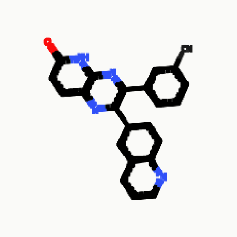 N#Cc1cccc(-c2nc3[nH]c(=O)ccc3nc2-c2ccc3ncccc3c2)c1